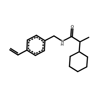 C=Cc1ccc(CNC(=O)C(C)C2CCCCC2)cc1